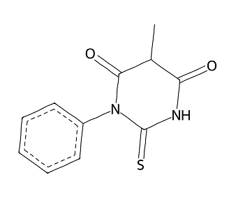 CC1C(=O)NC(=S)N(c2ccccc2)C1=O